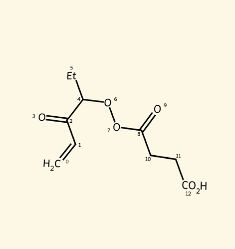 C=CC(=O)C(CC)OOC(=O)CCC(=O)O